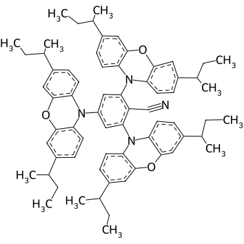 CCC(C)c1ccc2c(c1)Oc1cc(C(C)CC)ccc1N2c1cc(N2c3ccc(C(C)CC)cc3Oc3cc(C(C)CC)ccc32)c(C#N)c(N2c3ccc(C(C)CC)cc3Oc3cc(C(C)CC)ccc32)c1